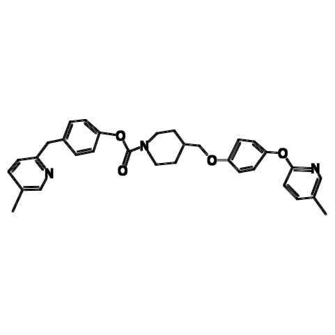 Cc1ccc(Cc2ccc(OC(=O)N3CCC(COc4ccc(Oc5ccc(C)cn5)cc4)CC3)cc2)nc1